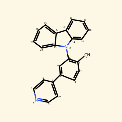 N#Cc1ccc(-c2ccncc2)cc1-n1c2ccccc2c2ccccc21